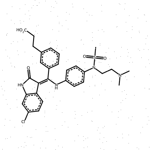 CN(C)CCN(c1ccc(NC(=C2C(=O)Nc3cc(Cl)ccc32)c2cccc(CCC(=O)O)c2)cc1)S(C)(=O)=O